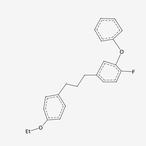 CCOc1ccc([CH]CCc2ccc(F)c(Oc3ccccc3)c2)cc1